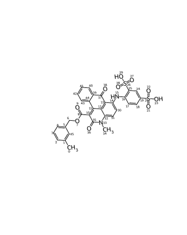 Cc1cccc(COC(=O)c2c3c4c(c(Nc5ccc(S(=O)(=O)O)cc5S(=O)(=O)O)ccc4n(C)c2=O)C(=O)c2ccccc2-3)c1